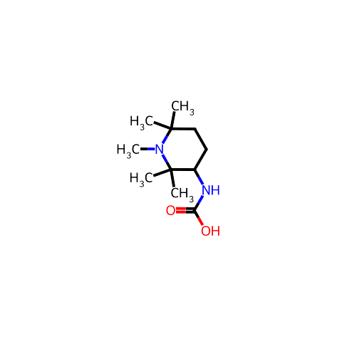 CN1C(C)(C)CCC(NC(=O)O)C1(C)C